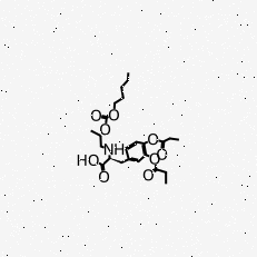 CCCCCOC(=O)OC(C)CN[C@@H](Cc1ccc(OC(=O)CC)c(OC(=O)CC)c1)C(=O)O